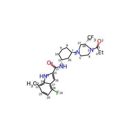 CCC(=O)N1CCN([C@@H]2CCC[C@@H](NC(=O)c3cc4c(F)ccc(C)c4[nH]3)C2)C[C@@H]1C(F)(F)F